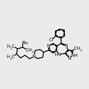 CCC(C)C(C)C(C)C(C)CCCN1CCC(c2cc3c(cn2)C(c2ccccc2Cl)=Nc2c(n[nH]c2C)N3)CC1